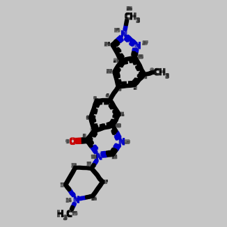 Cc1cc(-c2ccc3c(=O)n(C4CCN(C)CC4)cnc3c2)cc2cn(C)nc12